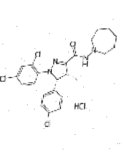 C[C@H]1C(C(=O)NN2CCCCCC2)=NN(c2ccc(Cl)cc2Cl)[C@H]1c1ccc(Cl)cc1.Cl